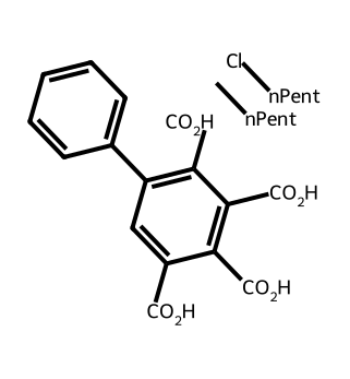 CCCCCC.CCCCCCl.O=C(O)c1cc(-c2ccccc2)c(C(=O)O)c(C(=O)O)c1C(=O)O